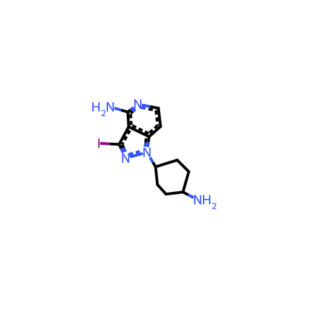 Nc1nccc2c1c(I)nn2C1CCC(N)CC1